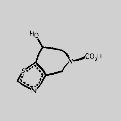 O=C(O)N1Cc2ncsc2C(O)C1